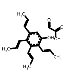 CC=Cc1cc(O)c(C=CC)c(C=CC)c1C=CC.O=CC(=O)O